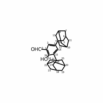 O=Cc1cc(C23CC4CC(CC(C4)C2)C3)cc(C23CC4CC(CC(C4)C2)C3)c1O